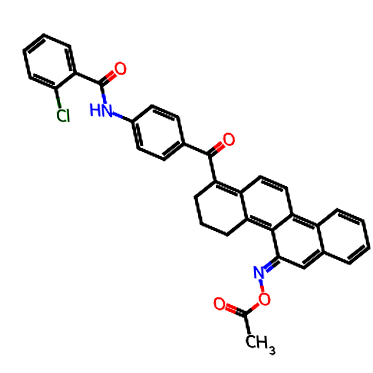 CC(=O)ON=C1C=c2ccccc2=c2ccc3c(c21)CCCC=3C(=O)c1ccc(NC(=O)c2ccccc2Cl)cc1